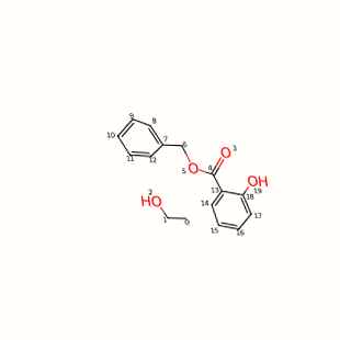 CCO.O=C(OCc1ccccc1)c1ccccc1O